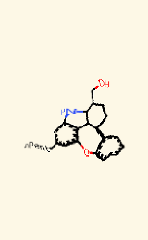 CCCCCc1cc2c3c(c1)Oc1ccccc1C1CCC(CO)C(N2)C31